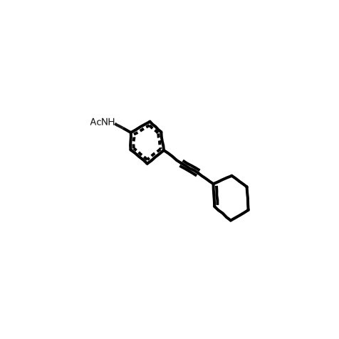 CC(=O)Nc1ccc(C#CC2=CCCCC2)cc1